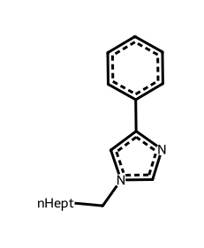 CCCCCCCCn1cnc(-c2ccccc2)c1